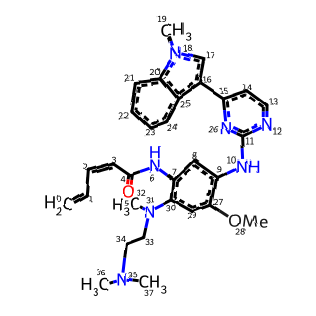 C=C/C=C\C(=O)Nc1cc(Nc2nccc(-c3cn(C)c4ccccc34)n2)c(OC)cc1N(C)CCN(C)C